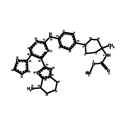 CC1(NC(=O)OC(C)(C)C)CCN(c2ccc(Nc3ncc(-c4cnco4)c(-c4nc5c(s4)C(N)CCC5)n3)cc2)CC1